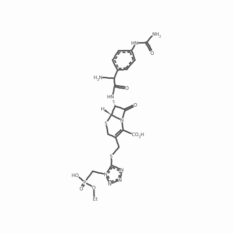 CCOP(=O)(O)Cn1nnnc1SCC1=C(C(=O)O)N2C(=O)[C@@H](NC(=O)C(N)c3ccc(NC(N)=O)cc3)[C@H]2SC1